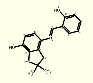 CC1(C)Cc2c(N=Cc3ccccc3O)ccc(O)c2O1